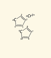 [Cr+2].c1cc[cH-]c1.c1cc[cH-]c1